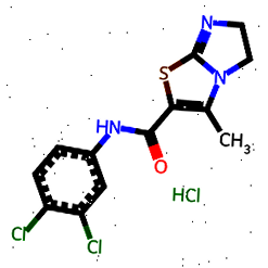 CC1=C(C(=O)Nc2ccc(Cl)c(Cl)c2)SC2=NCCN21.Cl